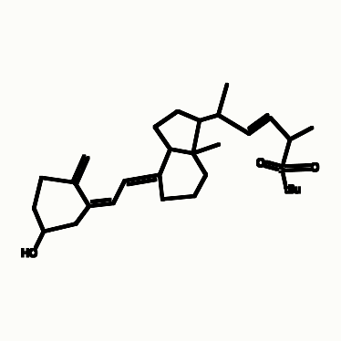 C=C1CCC(O)C/C1=C/C=C1\CCCC2(C)C1CCC2C(C)/C=C/C(C)S(=O)(=O)C(C)(C)C